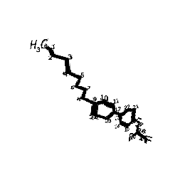 CCCCCCCCCc1ccc(-c2ccc(SC(F)F)cc2)cc1